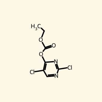 CCOC(=O)Oc1nc(Cl)ncc1Cl